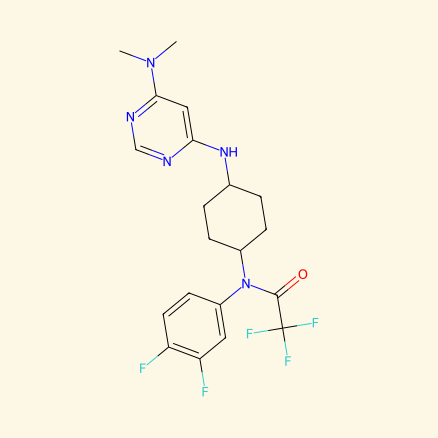 CN(C)c1cc(NC2CCC(N(C(=O)C(F)(F)F)c3ccc(F)c(F)c3)CC2)ncn1